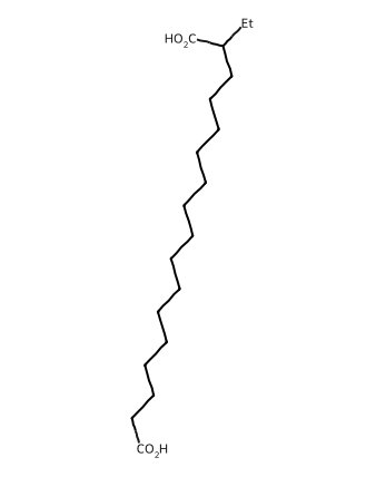 CCC(CCCCCCCCCCCCCCC(=O)O)C(=O)O